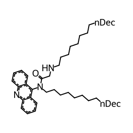 CCCCCCCCCCCCCCCCCCNCC(=O)N(CCCCCCCCCCCCCCCCCC)c1c2ccccc2nc2ccccc12